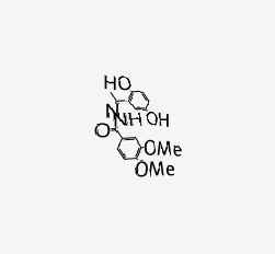 COc1ccc(C(=O)NN=C(C)c2cc(O)ccc2O)cc1OC